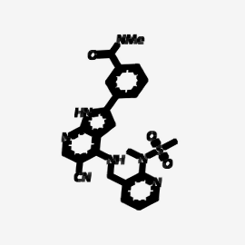 CNC(=O)c1cccc(-c2cc3c(NCc4cccnc4N(C)S(C)(=O)=O)c(C#N)cnc3[nH]2)c1